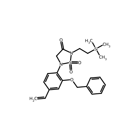 C=Cc1ccc(N2CC(=O)N(CC[Si](C)(C)C)S2(=O)=O)c(OCc2ccccc2)c1